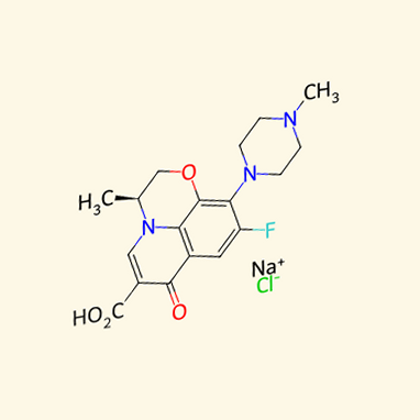 C[C@H]1COc2c(N3CCN(C)CC3)c(F)cc3c(=O)c(C(=O)O)cn1c23.[Cl-].[Na+]